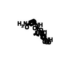 CC1CN(CC(=O)NC2C3CC4CC2CC(C(N)=O)(C4)C3)S(=O)(=O)N(c2ccc(NS(C)(=O)=O)cc2Cl)C1